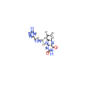 Cc1cc2nc3c(=O)[nH]c(=O)nc-3n(CCNCCc3nn[nH]n3)c2cc1C